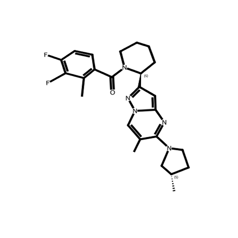 Cc1cn2nc([C@@H]3CCCCN3C(=O)c3ccc(F)c(F)c3C)cc2nc1N1CC[C@H](C)C1